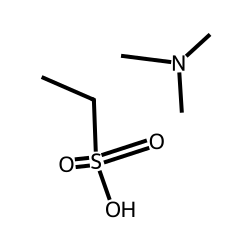 CCS(=O)(=O)O.CN(C)C